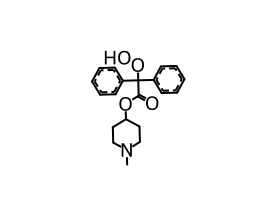 CN1CCC(OC(=O)C(OO)(c2ccccc2)c2ccccc2)CC1